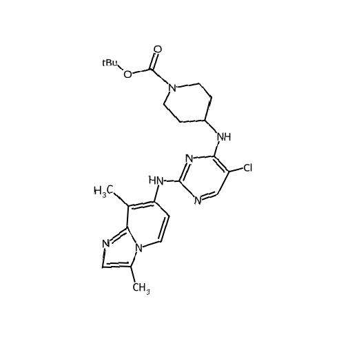 Cc1c(Nc2ncc(Cl)c(NC3CCN(C(=O)OC(C)(C)C)CC3)n2)ccn2c(C)cnc12